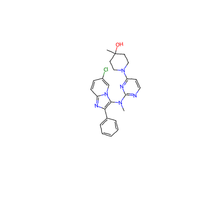 CN(c1nccc(N2CCC(C)(O)CC2)n1)c1c(-c2ccccc2)nc2ccc(Cl)cn12